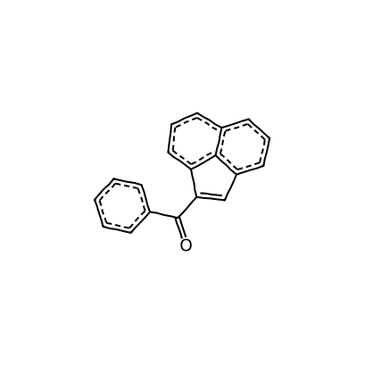 O=C(C1=Cc2cccc3cccc1c23)c1ccccc1